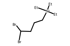 CC[N+](CC)(CC)CCCC(Br)Br